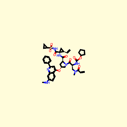 C=CC(=O)N(C)C[C@H](NC(=O)OC1CCCC1)C(=O)N1C[C@H](Oc2cc(-c3ccccc3)nc3cc(NC)ccc23)C[C@H]1C(=O)N[C@]1(C(=O)NS(=O)(=O)C2CC2)C[C@H]1C=C